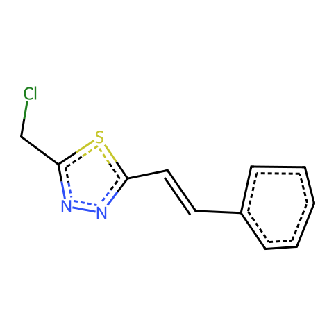 ClCc1nnc(C=Cc2ccccc2)s1